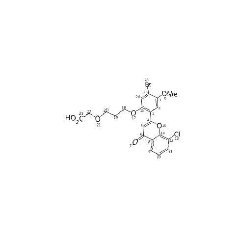 COc1cc(-c2cc(=O)c3cccc(Cl)c3o2)c(OCCCOCC(=O)O)cc1Br